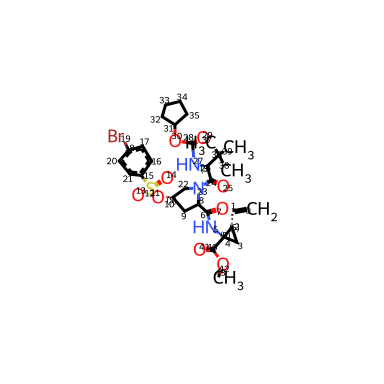 C=C[C@@H]1C[C@]1(NC(=O)C1C[C@H](OS(=O)(=O)c2ccc(Br)cc2)CN1C(=O)[C@@H](NC(=O)OC1CCCC1)C(C)(C)C)C(=O)OC